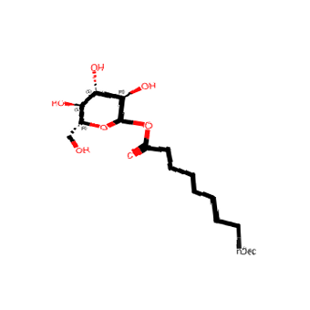 CCCCCCCCCCCCCCCCCC(=O)OC1O[C@H](CO)[C@@H](O)[C@H](O)[C@H]1O